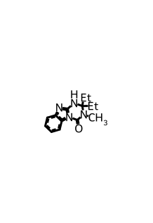 CCC1(CC)Nc2nc3ccccc3n2C(=O)N1C